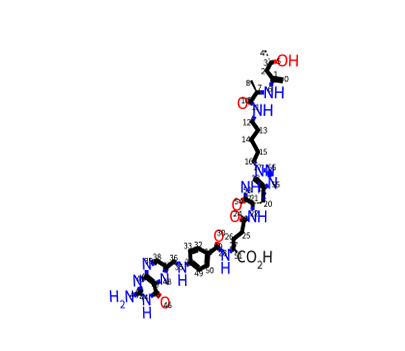 C=C(C[C@H](C)O)N[C@H](C)C(=O)NCCCCCn1cc(C[C@H](NC(=O)CC[C@H](NC(=O)c2ccc(NCc3cnc4nc(N)[nH]c(=O)c4n3)cc2)C(=O)O)C(N)=O)nn1